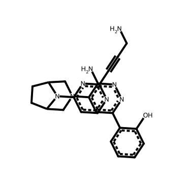 NCC#Cc1nccc(N2C3CCC2CN(c2cc(-c4ccccc4O)nnc2N)C3)n1